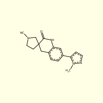 Cn1nccc1-c1ccc2c(c1)NC(=O)C1(CCN(C#N)C1)C2